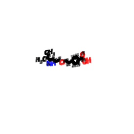 CC[C@@H](C)C(=N)CCCOCCc1ccc(C(=O)O)cc1